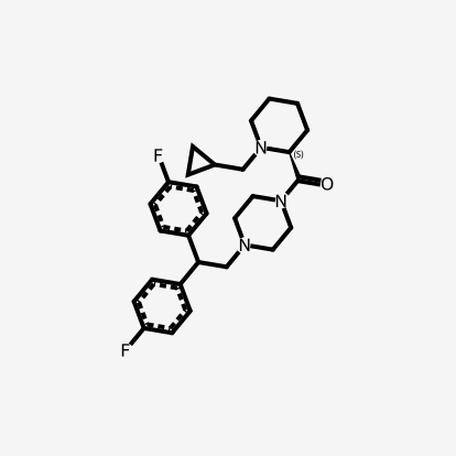 O=C([C@@H]1CCCCN1CC1CC1)N1CCN(CC(c2ccc(F)cc2)c2ccc(F)cc2)CC1